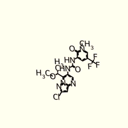 CO[C@@H](C)c1c(NC(=O)Nc2cc(C(F)(F)F)cn(C)c2=O)cnc2cc(Cl)nn12